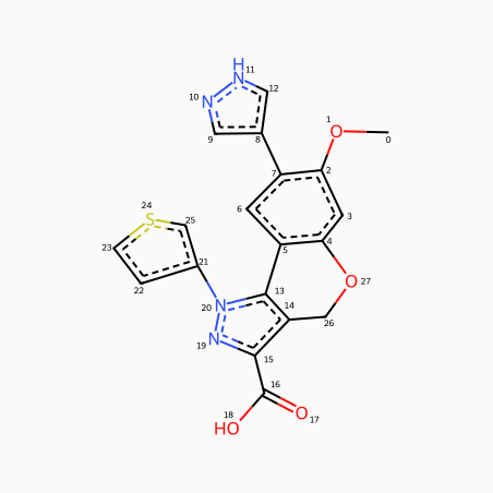 COc1cc2c(cc1-c1cn[nH]c1)-c1c(c(C(=O)O)nn1-c1ccsc1)CO2